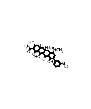 CCOc1cccc(-c2cc(N(C)C)c3c(c2O)C(=O)C2=C(O)[C@]4(O)C(=O)C(C(N)=O)=C(O)C[C@@H]4C[C@@H]2C3)c1